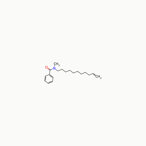 C=CCCCCCCCCCN(C)C(=O)c1ccccc1